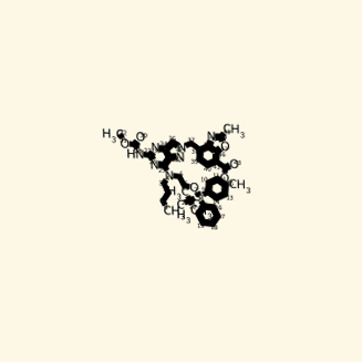 CCCCN(CCO[Si](c1ccccc1)(c1ccccc1)C(C)(C)C)c1nc(NC(=O)OC)nc2cn(Cc3ccc(C(=O)OC)c4oc(C)nc34)nc12